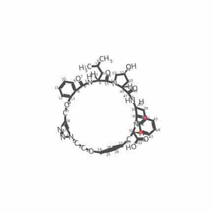 CC(C)C[C@H]1NC(=O)c2ccccc2OCc2cn(nn2)CCOc2ccc(cc2)C[C@@H](C(=O)O)NC(=O)[C@H](Cc2ccccc2)NC(=O)[C@H]2C[C@H](O)CN2C1=O